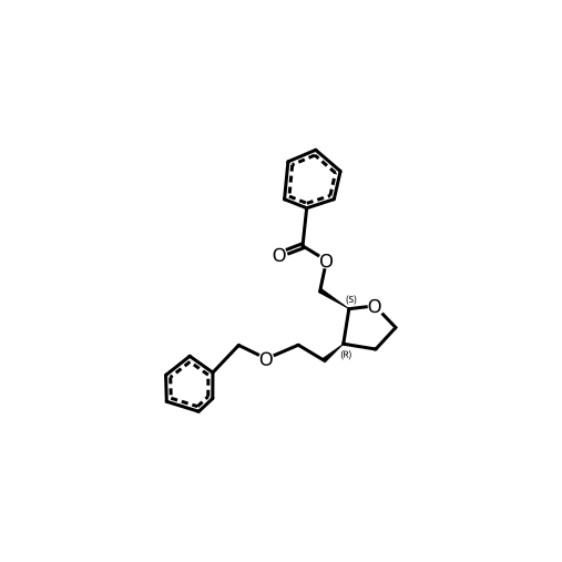 O=C(OC[C@H]1OCC[C@H]1CCOCc1ccccc1)c1ccccc1